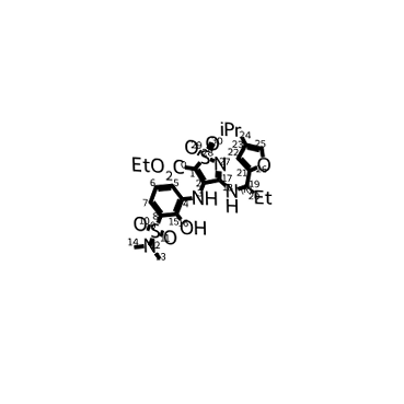 CCOC(=O)C1=C(Nc2cccc(S(=O)(=O)N(C)C)c2O)C(N[C@H](CC)c2cc(C(C)C)co2)=NS1(=O)=O